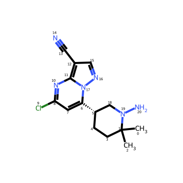 CC1(C)CC[C@H](c2cc(Cl)nc3c(C#N)cnn23)CN1N